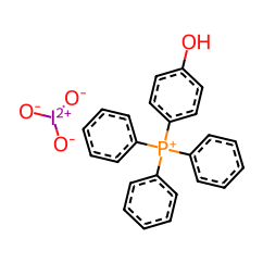 Oc1ccc([P+](c2ccccc2)(c2ccccc2)c2ccccc2)cc1.[O-][I+2]([O-])[O-]